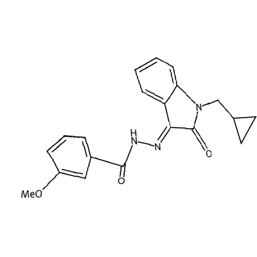 COc1cccc(C(=O)N/N=C2/C(=O)N(CC3CC3)c3ccccc32)c1